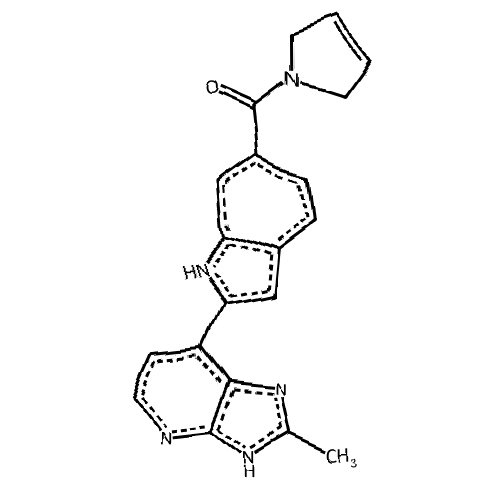 Cc1nc2c(-c3cc4ccc(C(=O)N5CC=CC5)cc4[nH]3)ccnc2[nH]1